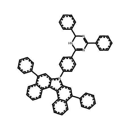 c1ccc(C2=NC(c3ccccc3)NC(c3ccc(-n4c5cc(-c6ccccc6)c6ccccc6c5c5c6ccccc6c(-c6ccccc6)cc54)cc3)=N2)cc1